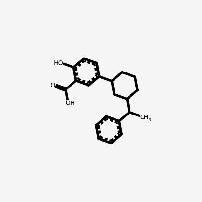 CC(c1ccccc1)C1CCCC(c2ccc(O)c(C(=O)O)c2)C1